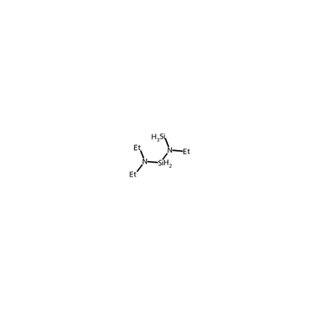 CCN([SiH3])[SiH2]N(CC)CC